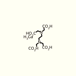 O=C(O)CN(CCN(CC(=O)O)CC(=O)O)CC(=O)O.[GaH3]